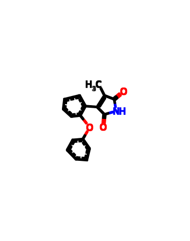 CC1=C(c2ccccc2Oc2ccccc2)C(=O)NC1=O